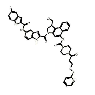 O=C(Nc1ccc2[nH]c(C(=O)N3CC(CCl)c4c3cc(OC(=O)N3CCN(C(=O)CCSSc5ccccn5)CC3)c3ccccc43)cc2c1)c1cc2cc(F)ccc2[nH]1